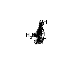 CC(=O)Oc1ccc(C(ON=C(C(=O)NC2C(=O)N3C(C(=O)[O-])=C(CSc4cc[n+](CC(=O)O)cc4)CS[C@@H]23)c2csc(N)n2)C(=O)O)cc1OC(C)=O